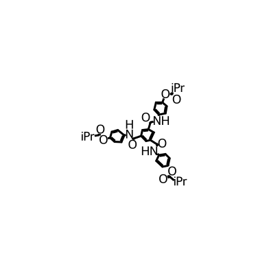 CC(C)C(=O)Oc1ccc(NC(=O)c2cc(C(=O)Nc3ccc(OC(=O)C(C)C)cc3)cc(C(=O)Nc3ccc(OC(=O)C(C)C)cc3)c2)cc1